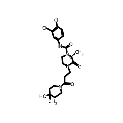 C[C@H]1C(=O)N(CCC(=O)N2CCC(C)(O)CC2)CCN1C(=O)Nc1ccc(Cl)c(Cl)c1